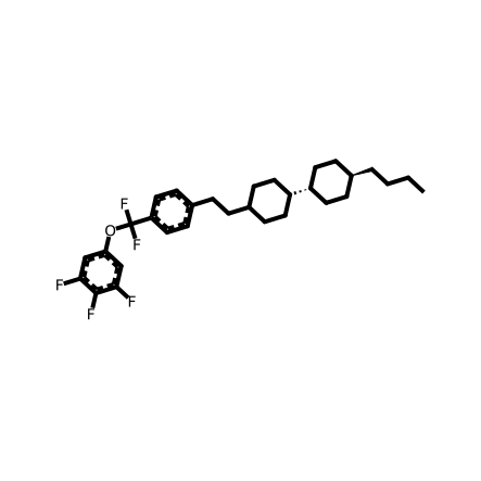 CCCC[C@H]1CC[C@H](C2CCC(CCc3ccc(C(F)(F)Oc4cc(F)c(F)c(F)c4)cc3)CC2)CC1